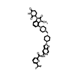 Cn1c(=O)n(C2CCC(=O)NC2=O)c2cccc(N3CCN(C[C@H]4CC[C@H](n5cc6cc(NC(=O)c7cccc(C(F)F)n7)ncc6n5)CC4)CC3)c21